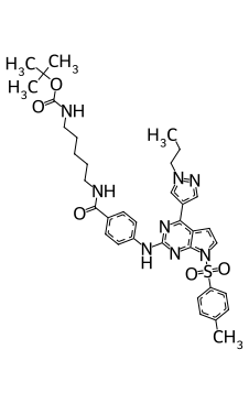 CCCn1cc(-c2nc(Nc3ccc(C(=O)NCCCCCNC(=O)OC(C)(C)C)cc3)nc3c2ccn3S(=O)(=O)c2ccc(C)cc2)cn1